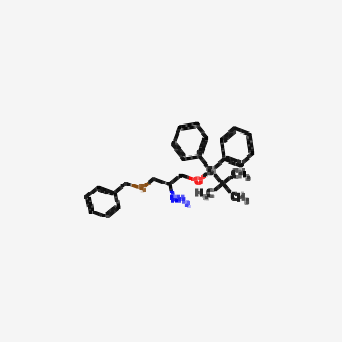 CC(C)(C)[Si](OCC(N)CSCc1ccccc1)(c1ccccc1)c1ccccc1